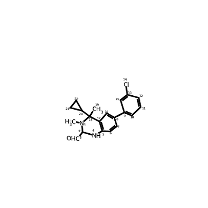 CN1C(C=O)Nc2ccc(-c3cccc(Cl)c3)cc2C1(C)C1CC1